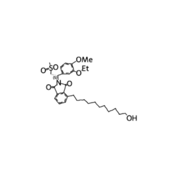 CCOc1cc([C@@H](CS(C)(=O)=O)N2C(=O)c3cccc(CCCCCCCCCCCO)c3C2=O)ccc1OC